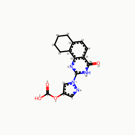 O=C(O)Oc1cnn(-c2nc3c4c(ccc3c(=O)[nH]2)CCCC4)c1